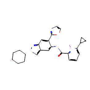 O=C(Nc1cc2cn([C@H]3CC[C@H](O)CC3)nc2cc1-c1ncco1)c1cccc(C2CC2)[n+]1O